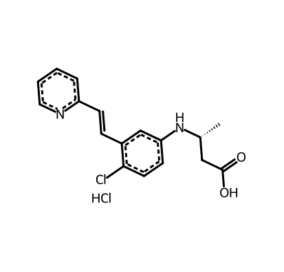 C[C@H](CC(=O)O)Nc1ccc(Cl)c(C=Cc2ccccn2)c1.Cl